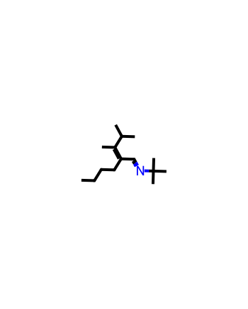 CCCCC(/C=N/C(C)(C)C)=C(\C)C(C)C